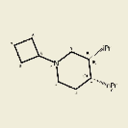 CCC[C@@H]1CCN(C2CCC2)C[C@@H]1C(C)C